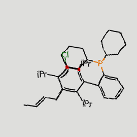 CC=CCc1c(C(C)C)c(Cl)c(C(C)C)c(-c2ccccc2P(C2CCCCC2)C2CCCCC2)c1C(C)C